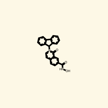 O=C(NO)c1ccc2ccn(C3c4ccccc4-c4ccccc43)c(=O)c2c1